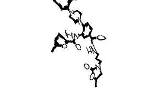 Cc1ccc(C(=O)Nc2cc(C(=O)NCCCN3CC(C)OC3=O)ccc2N2CCN(c3ccccc3C)CC2)o1